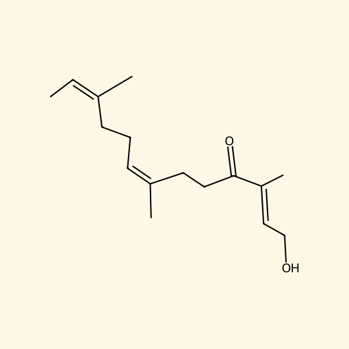 CC=C(C)CCC=C(C)CCC(=O)C(C)=CCO